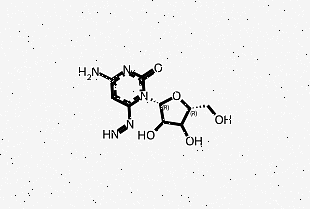 N=Nc1cc(N)nc(=O)n1[C@@H]1O[C@H](CO)C(O)C1O